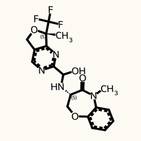 CN1C(=O)[C@@H](NC(O)c2ncc3c(n2)[C@@](C)(C(F)(F)F)OC3)COc2ccccc21